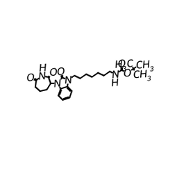 CC(C)(C)OC(=O)NCCCCCCCn1c(=O)n(C2CCCC(=O)NC2=O)c2ccccc21